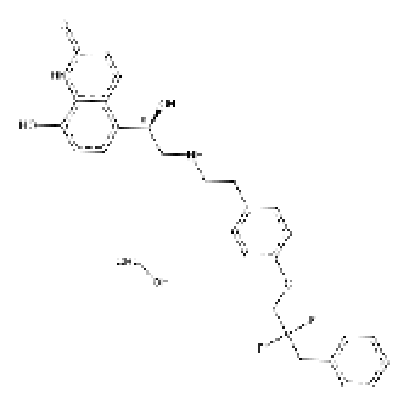 O=CO.O=c1ccc2c([C@@H](O)CNCCc3ccc(OCC(F)(F)Cc4ccccc4)cc3)ccc(O)c2[nH]1